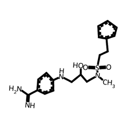 CN(CC(O)CNc1ccc(C(=N)N)cc1)S(=O)(=O)CCc1ccccc1